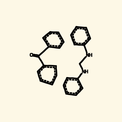 O=C(c1ccccc1)c1ccccc1.c1ccc(NCNc2ccccc2)cc1